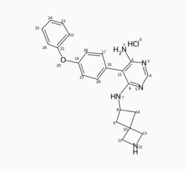 Cl.Nc1ncnc(NC2CC3(CNC3)C2)c1-c1ccc(Oc2ccccc2)cc1